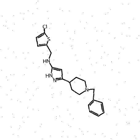 Clc1ccc(CNc2cc(C3CCN(Cc4ccccc4)CC3)n[nH]2)s1